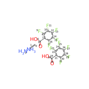 C=C.N.N.O=C(O)c1c(F)c(F)c(F)c(F)c1F.O=C(O)c1c(F)c(F)c(F)c(F)c1F